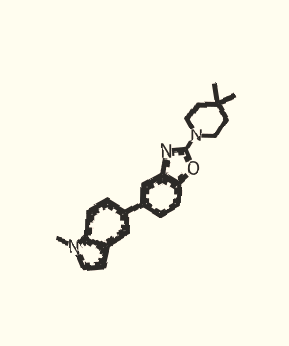 Cn1ccc2cc(-c3ccc4oc(N5CCC(C)(C)CC5)nc4c3)ccc21